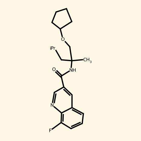 CC(C)CC(C)(COC1CCCC1)NC(=O)c1cnc2c(F)cccc2c1